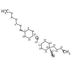 CCCCCCC[C@H]1CC[C@H](OC[C@H]2CC[C@@](C#N)(CCCC)CC2)CC1